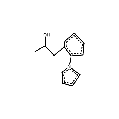 CC(O)Cc1ccccc1-n1cccc1